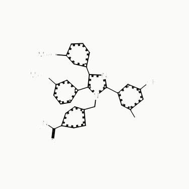 COc1cccc(-c2nc(-c3cc(C)cc(C(F)(F)F)c3)n(Cc3ccc(C(N)=O)cc3)c2-c2cccc(OC)c2)c1